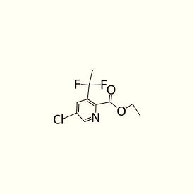 CCOC(=O)c1ncc(Cl)cc1C(C)(F)F